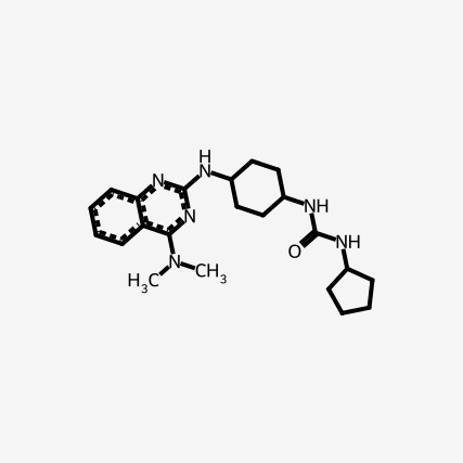 CN(C)c1nc(NC2CCC(NC(=O)NC3CCCC3)CC2)nc2ccccc12